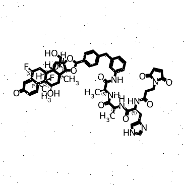 C[C@H](NC(=O)[C@H](C)NC(=O)[C@H](Cc1c[nH]cn1)NC(=O)CCN1C(=O)C=CC1=O)C(=O)Nc1cccc(Cc2ccc(C3O[C@@H]4C[C@H]5[C@@H]6C[C@H](F)C7=CC(=O)C=C[C@]7(C)[C@@]6(F)[C@@H](O)C[C@]5(C)[C@]4(C(=O)CO)O3)cc2)c1